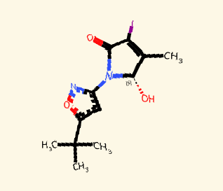 CC1=C(I)C(=O)N(c2cc(C(C)(C)C)on2)[C@H]1O